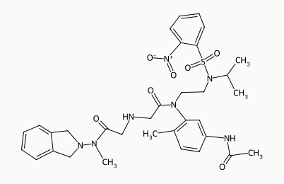 CC(=O)Nc1ccc(C)c(N(CCN(C(C)C)S(=O)(=O)c2ccccc2[N+](=O)[O-])C(=O)CNCC(=O)N(C)N2Cc3ccccc3C2)c1